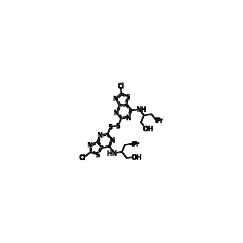 CC(C)CC(CO)Nc1nc(SSc2nc(NC(CO)CC(C)C)c3sc(Cl)nc3n2)nc2nc(Cl)sc12